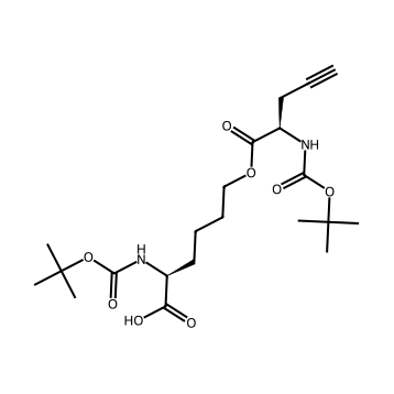 C#CC[C@@H](NC(=O)OC(C)(C)C)C(=O)OCCCC[C@H](NC(=O)OC(C)(C)C)C(=O)O